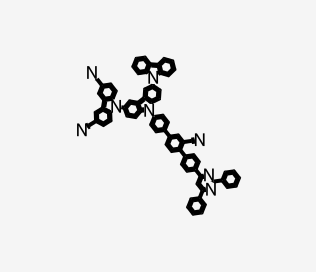 N#Cc1ccc2c(c1)c1cc(C#N)ccc1n2-c1ccc2c(c1)c1cc(-n3c4ccccc4c4ccccc43)ccc1n2-c1ccc(-c2ccc(-c3ccc(-c4cc(-c5ccccc5)nc(-c5ccccc5)n4)cc3)c(C#N)c2)cc1